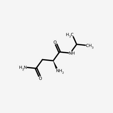 CC(C)NC(=O)[C@@H](N)CC(N)=O